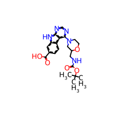 CC(C)(C)OC(=O)NCC1CN(c2ncnc3[nH]c4cc(C(=O)O)ccc4c23)CCO1